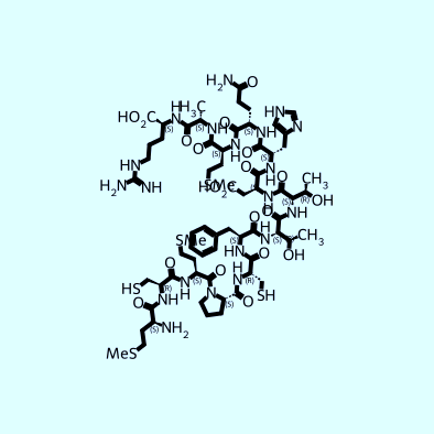 CSCC[C@H](NC(=O)[C@H](CCC(N)=O)NC(=O)[C@H](Cc1c[nH]cn1)NC(=O)[C@H](CC(=O)O)NC(=O)[C@@H](NC(=O)[C@@H](NC(=O)[C@H](Cc1ccccc1)NC(=O)[C@H](CS)NC(=O)[C@@H]1CCCN1C(=O)[C@H](CCSC)NC(=O)[C@H](CS)NC(=O)[C@@H](N)CCSC)[C@@H](C)O)[C@@H](C)O)C(=O)N[C@@H](C)C(=O)N[C@@H](CCCNC(=N)N)C(=O)O